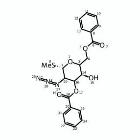 CS[C@@H]1OC(COC(=O)c2ccccc2)[C@@H](O)C(OC(=O)c2ccccc2)C1N=[N+]=[N-]